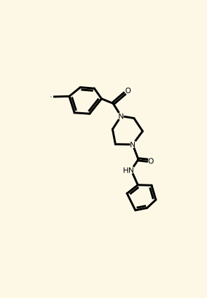 [CH2]c1ccc(C(=O)N2CCN(C(=O)Nc3ccccc3)CC2)cc1